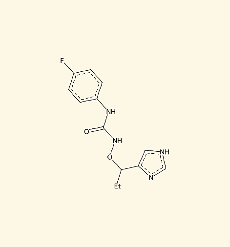 CCC(ONC(=O)Nc1ccc(F)cc1)c1c[nH]cn1